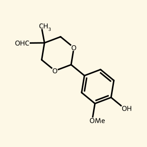 COc1cc(C2OCC(C)(C=O)CO2)ccc1O